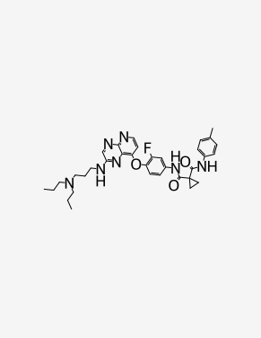 CCCN(CCC)CCCNc1cnc2nccc(Oc3ccc(NC(=O)C4(C(=O)Nc5ccc(C)cc5)CC4)cc3F)c2n1